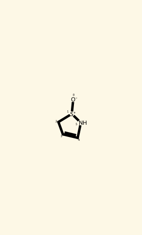 [O-][S+]1CC=CN1